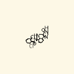 O=C(Nc1cccc2c1ncc1c(=O)[nH]cnc12)c1c(Cl)cccc1Cl